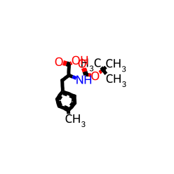 Cc1ccc(CC(NC(=O)OC(C)(C)C)C(=O)O)cc1